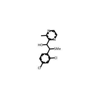 CSC(c1ccc(Cl)cc1Cl)C(O)c1nccnc1C